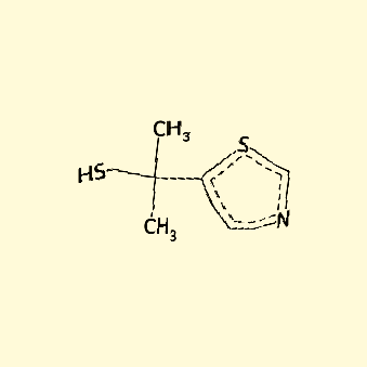 CC(C)(S)c1cncs1